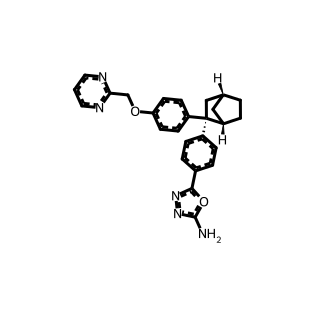 Nc1nnc(-c2ccc([C@]3(c4ccc(OCc5ncccn5)cc4)C[C@@H]4CC[C@H]3C4)cc2)o1